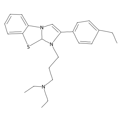 CCc1ccc(C2=CN3c4ccccc4SC3N2CCCN(CC)CC)cc1